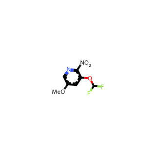 COc1cnc([N+](=O)[O-])c(OC(F)F)c1